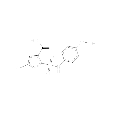 COc1ccc(NS(=O)(=O)c2sc(Cl)cc2C(C)=O)cc1